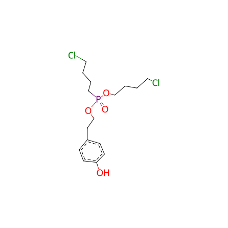 O=P(CCCCCl)(OCCCCCl)OCCc1ccc(O)cc1